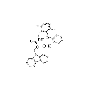 Cc1cnc(C)c(Sc2ccccc2C=O)c1CNC(=O)OCC1c2ccccc2-c2ccccc21